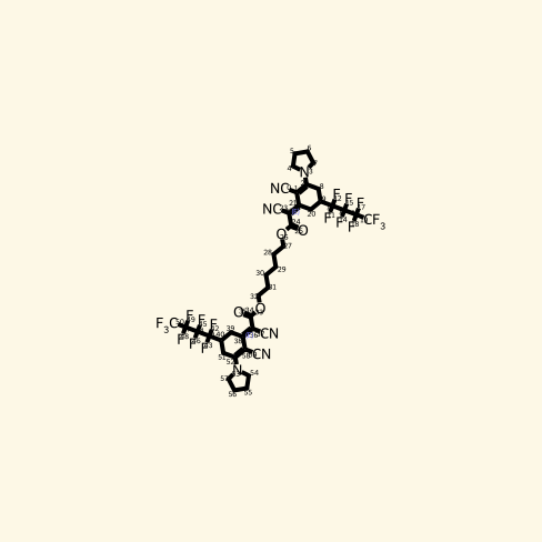 N#CC1=C(N2CCCC2)CC(C(F)(F)C(F)(F)C(F)(F)C(F)(F)F)C/C1=C(/C#N)C(=O)OCCCCCCOC(=O)/C(C#N)=C1\CC(C(F)(F)C(F)(F)C(F)(F)C(F)(F)F)CC(N2CCCC2)=C1C#N